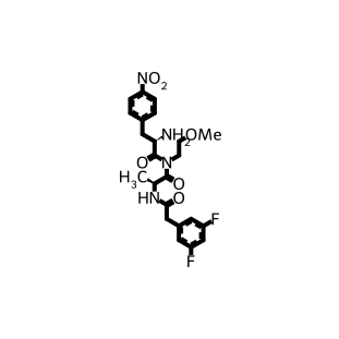 COCCN(C(=O)[C@H](C)NC(=O)Cc1cc(F)cc(F)c1)C(=O)[C@@H](N)Cc1ccc([N+](=O)[O-])cc1